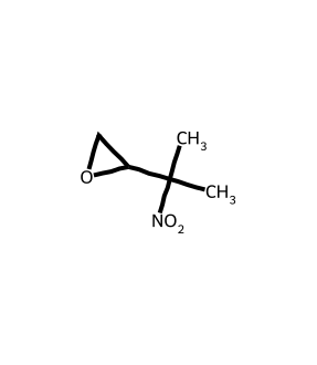 CC(C)(C1CO1)[N+](=O)[O-]